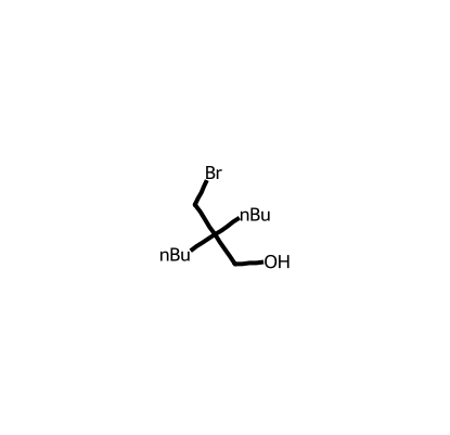 CCCCC(CO)(CBr)CCCC